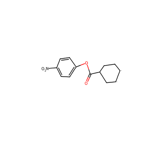 O=C(Oc1ccc([N+](=O)[O-])cc1)C1C[CH][CH]CC1